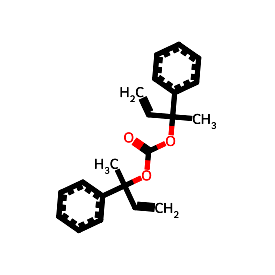 C=CC(C)(OC(=O)OC(C)(C=C)c1ccccc1)c1ccccc1